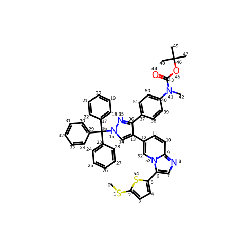 CSc1ccc(-c2cnc3ccc(-c4cn(C(c5ccccc5)(c5ccccc5)c5ccccc5)nc4-c4ccc(N(C)C(=O)OC(C)(C)C)cc4)cn23)s1